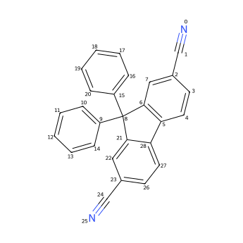 N#Cc1ccc2c(c1)C(c1ccccc1)(c1ccccc1)c1cc(C#N)ccc1-2